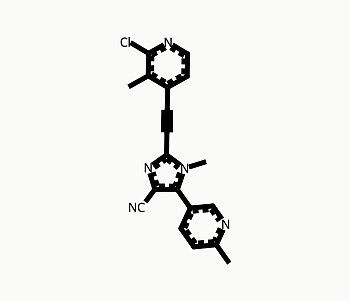 Cc1ccc(-c2c(C#N)nc(C#Cc3ccnc(Cl)c3C)n2C)cn1